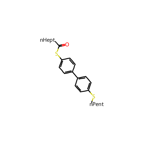 CCCCCCCC(=O)Sc1ccc(-c2ccc(SCCCCC)cc2)cc1